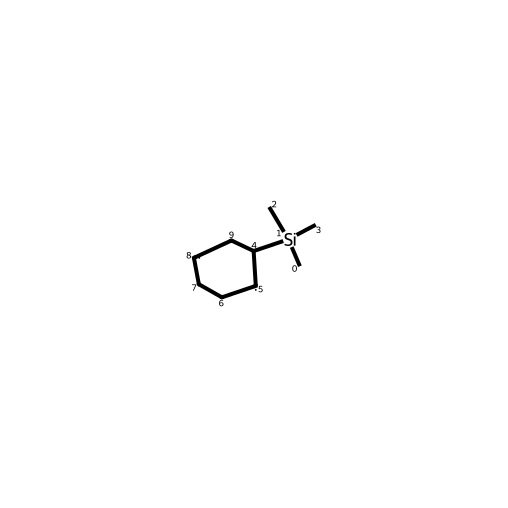 C[Si](C)(C)C1[CH]CC[CH]C1